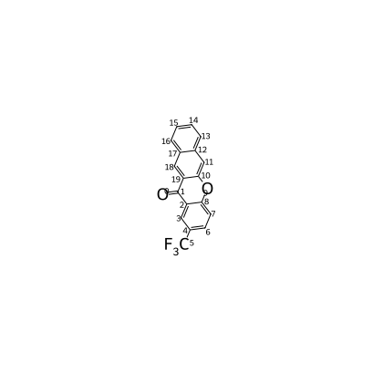 O=c1c2cc(C(F)(F)F)ccc2oc2cc3ccccc3cc12